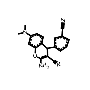 CN(C)c1ccc2c(c1)OC(N)=C(C#N)C2c1cccc(C#N)c1